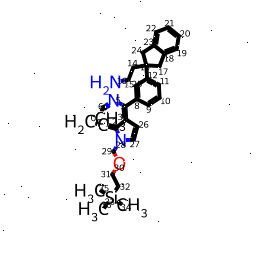 C=C=c1/c(=C(\N=C/C)c2cccc(C3(CCN)Cc4ccccc4C3)c2)ccn1COCC[Si](C)(C)C